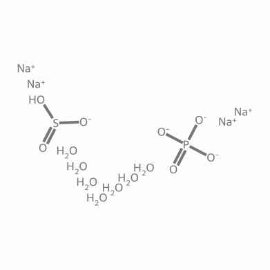 O.O.O.O.O.O.O.O=P([O-])([O-])[O-].O=S([O-])O.[Na+].[Na+].[Na+].[Na+]